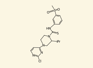 CC(C)C1CN(c2ccnc(Cl)n2)CCN1C(=S)Nc1cccc(S(C)(=O)=O)c1